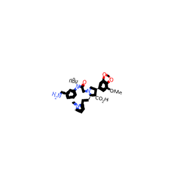 CCCCN(C(=O)CN1C[C@H](c2cc(OC)c3c(c2)OCO3)[C@@H](C(=O)O)[C@@H]1CCc1cccn1C)c1cccc(CN)c1